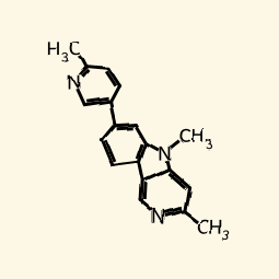 Cc1ccc(-c2ccc3c4cnc(C)cc4n(C)c3c2)cn1